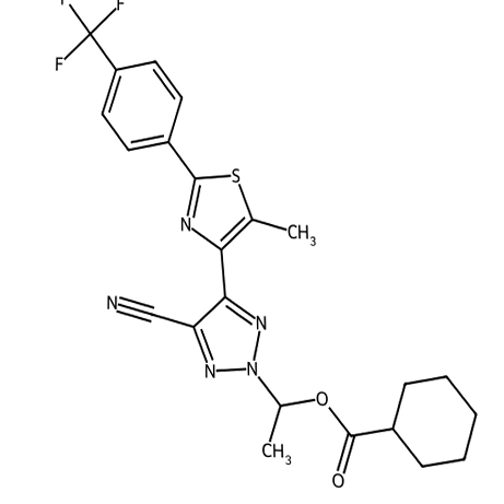 Cc1sc(-c2ccc(C(F)(F)F)cc2)nc1-c1nn(C(C)OC(=O)C2CCCCC2)nc1C#N